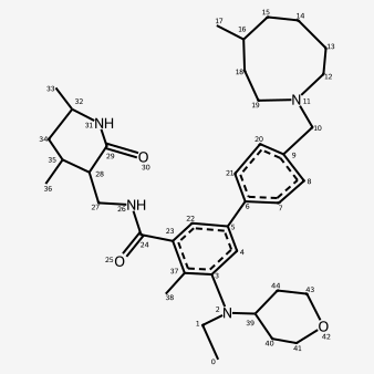 CCN(c1cc(-c2ccc(CN3CCCCC(C)CC3)cc2)cc(C(=O)NCC2C(=O)NC(C)CC2C)c1C)C1CCOCC1